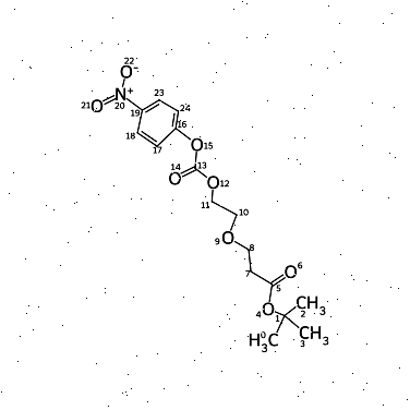 CC(C)(C)OC(=O)CCOCCOC(=O)Oc1ccc([N+](=O)[O-])cc1